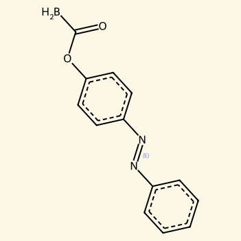 BC(=O)Oc1ccc(/N=N/c2ccccc2)cc1